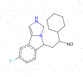 O=NC(CC1c2ccc(F)cc2C2=CNCN21)C1CCCCC1